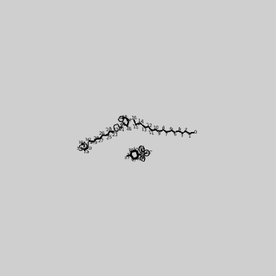 CCCCCCCCCCCCCCCCC[C@H]1CO[C@H](COCCCCCCCC[n+]2ccsc2)C1.Cc1ccc(S(=O)(=O)[O-])cc1